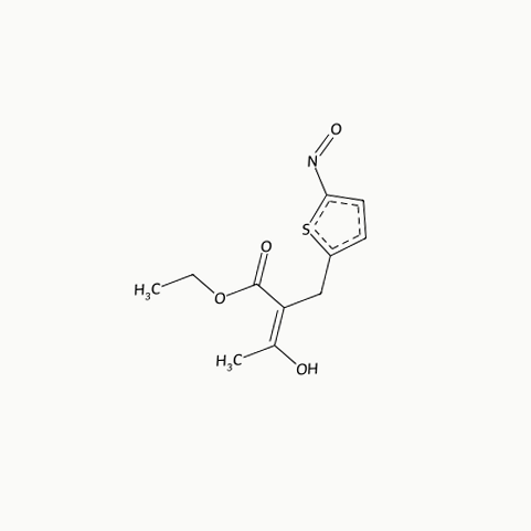 CCOC(=O)/C(Cc1ccc(N=O)s1)=C(\C)O